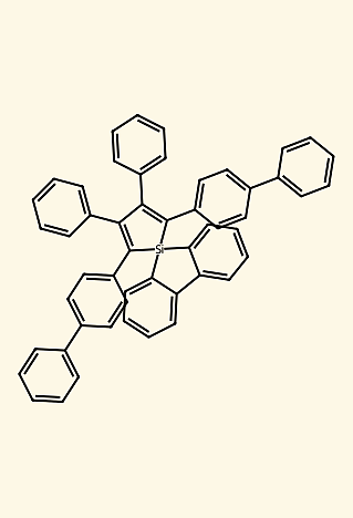 c1ccc(C2=C(c3ccc(-c4ccccc4)cc3)[Si]3(C(c4ccc(-c5ccccc5)cc4)=C2c2ccccc2)c2ccccc2-c2ccccc23)cc1